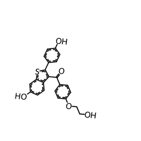 O=C(c1ccc(OCCO)cc1)c1c(-c2ccc(O)cc2)sc2cc(O)ccc12